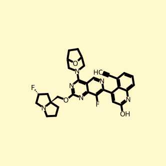 C#Cc1cccc2nc(O)cc(-c3ncc4c(N5CC6CCC(C5)O6)nc(OC[C@@]56CCCN5C[C@H](F)C6)nc4c3F)c12